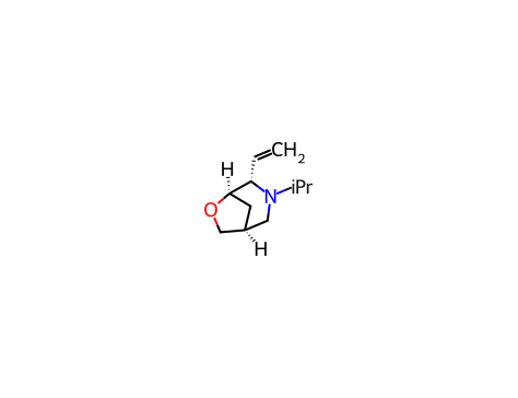 C=C[C@H]1[C@H]2C[C@H](CO2)CN1C(C)C